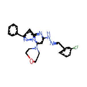 Clc1cccc(C=NNc2cc(N3CCOCC3)n3nc(-c4ccccc4)cc3n2)c1